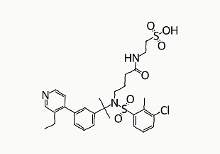 CCc1cnccc1-c1cccc(C(C)(C)N(CCCC(=O)NCCS(=O)(=O)O)S(=O)(=O)c2cccc(Cl)c2C)c1